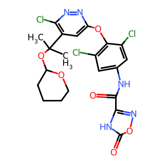 CC(C)(OC1CCCCO1)c1cc(Oc2c(Cl)cc(NC(=O)c3noc(=O)[nH]3)cc2Cl)nnc1Cl